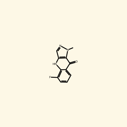 Cn1ncc2[nH]c3c(F)cccc3c(=O)c21